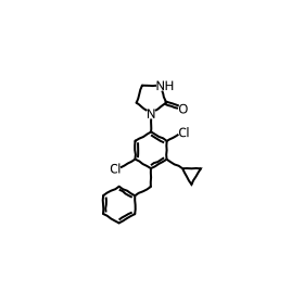 O=C1NCCN1c1cc(Cl)c(Cc2ccccc2)c(C2CC2)c1Cl